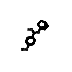 COc1ccc(C(O)OC23CCC(CC2)C3)cc1